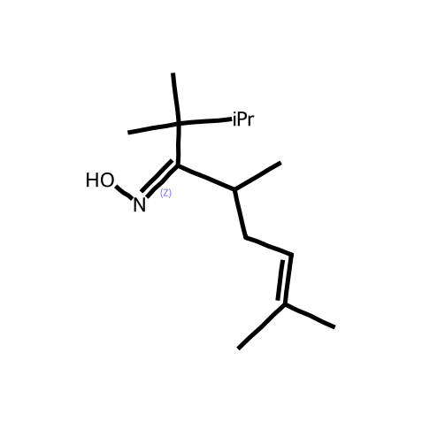 CC(C)=CCC(C)/C(=N/O)C(C)(C)C(C)C